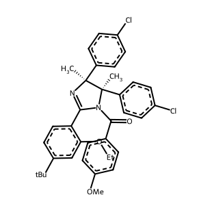 CCOc1cc(C(C)(C)C)ccc1C1=N[C@@](C)(c2ccc(Cl)cc2)[C@@](C)(c2ccc(Cl)cc2)N1C(=O)c1ccc(OC)cc1